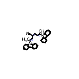 C\C(=C/C=C(C#N)\C=C(/C)n1c2ccccc2c2ccccc21)n1c2ccccc2c2ccccc21